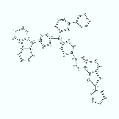 c1ccc(-c2cccc(N(c3ccc(-c4ccc5c(ccc6nc(-c7ccccc7)oc65)c4)cc3)c3ccc(-n4c5ccccc5c5ccccc54)cc3)c2)cc1